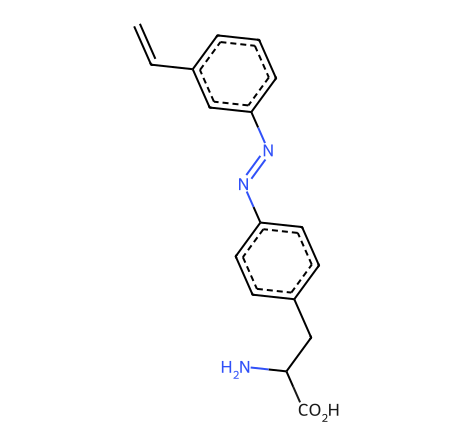 C=Cc1cccc(N=Nc2ccc(CC(N)C(=O)O)cc2)c1